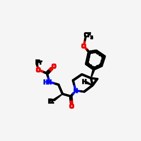 CC[C@H](CNC(=O)OC(C)C)C(=O)N1CC[C@@]2(c3cccc(OC(F)(F)F)c3)C[C@H]2C1